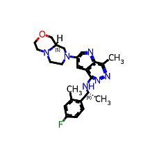 Cc1cc(F)ccc1[C@@H](C)Nc1nnc(C)c2ncc(N3CCN4CCOC[C@@H]4C3)cc12